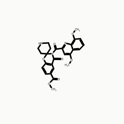 COC(=O)c1ccc2c(c1)C(=O)N(C(=O)c1cc(OC)c3cccc(OC)c3n1)C1(CCNCC1)O2